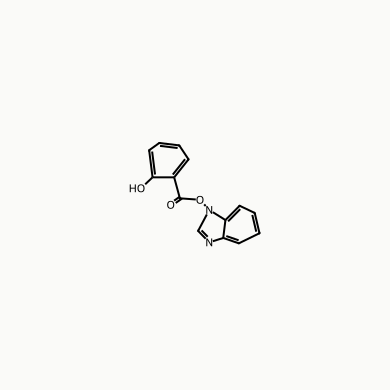 O=C(On1cnc2ccccc21)c1ccccc1O